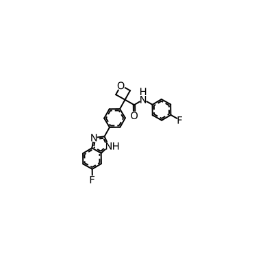 O=C(Nc1ccc(F)cc1)C1(c2ccc(-c3nc4ccc(F)cc4[nH]3)cc2)COC1